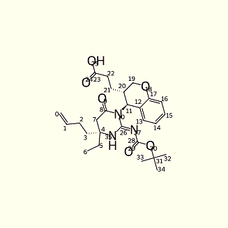 C=CCC[C@]1(CC)CC(=O)N([C@@H]2c3ccccc3OC[C@H]2CCC(=O)O)/C(=N/C(=O)OC(C)(C)C)N1